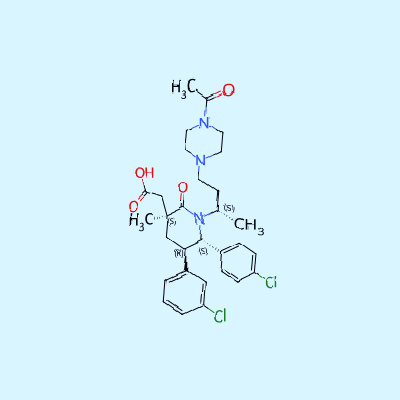 CC(=O)N1CCN(CC[C@H](C)N2C(=O)[C@](C)(CC(=O)O)C[C@H](c3cccc(Cl)c3)[C@H]2c2ccc(Cl)cc2)CC1